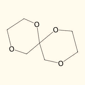 C1COC2(CO1)COCCO2